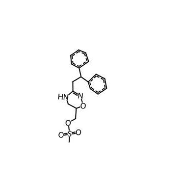 CS(=O)(=O)OCC1CNC(CC(c2ccccc2)c2ccccc2)=NO1